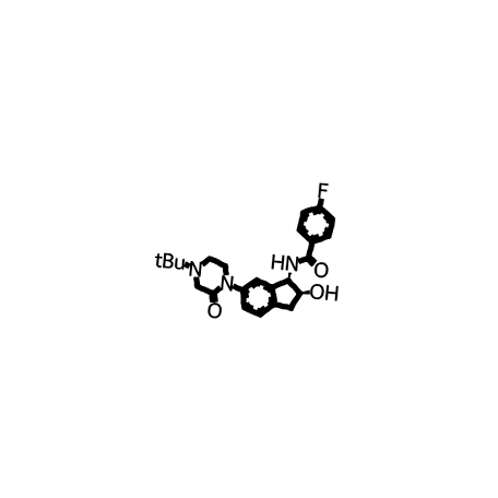 CC(C)(C)N1CCN(c2ccc3c(c2)[C@H](NC(=O)c2ccc(F)cc2)[C@@H](O)C3)C(=O)C1